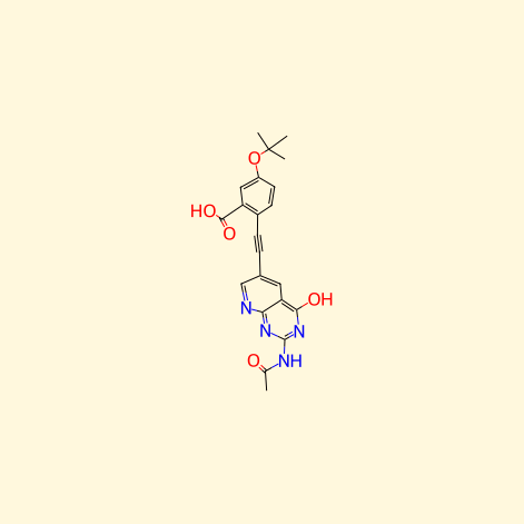 CC(=O)Nc1nc(O)c2cc(C#Cc3ccc(OC(C)(C)C)cc3C(=O)O)cnc2n1